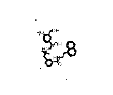 CC(C)(Cc1cccc(C(=O)NCCc2cccc3ccccc23)c1)NC[C@@H](O)c1ccc(O)c(CO)c1